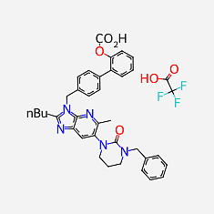 CCCCc1nc2cc(N3CCCN(Cc4ccccc4)C3=O)c(C)nc2n1Cc1ccc(-c2ccccc2OC(=O)O)cc1.O=C(O)C(F)(F)F